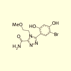 COCCn1c(C(N)=O)nnc1-c1cc(Br)c(O)cc1O